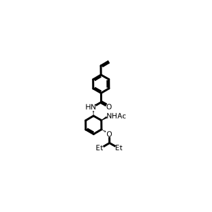 C=Cc1ccc(C(=O)N[C@H]2CC=C[C@@H](OC(CC)CC)[C@@H]2NC(C)=O)cc1